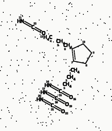 C.C.C.C.C.C.C1=CCCC1.N=C=O.N=C=O.N=C=O.N=C=O